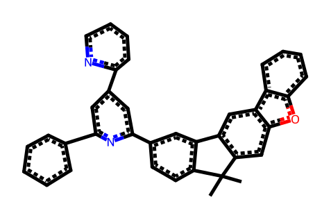 CC1(C)c2ccc(-c3cc(-c4ccccn4)cc(-c4ccccc4)n3)cc2-c2cc3c(cc21)oc1ccccc13